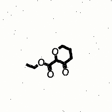 CCOC(=O)C1OCCCC1=O